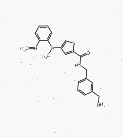 C=Nc1ccccc1N(C)c1csc(C(=O)NCc2cccc(CN)c2)c1